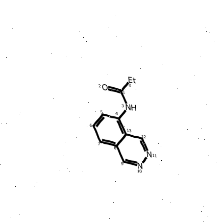 CCC(=O)Nc1cccc2cnncc12